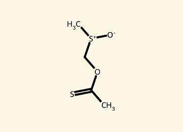 CC(=S)OC[S+](C)[O-]